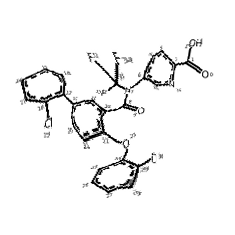 O=C(O)c1ccc(N(C(=O)c2cc(-c3ccccc3Cl)ccc2Oc2ccccc2Cl)C(F)(F)F)cn1